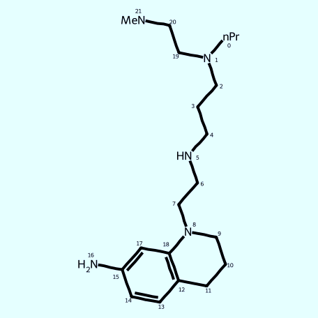 CCCN(CCCNCCN1CCCc2ccc(N)cc21)CCNC